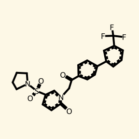 O=C(Cn1cc(S(=O)(=O)N2CCCC2)ccc1=O)c1ccc(-c2cccc(C(F)(F)F)c2)cc1